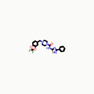 O=C(Nc1nc(-c2ccccc2)ns1)N1CCN(Cc2ccc3c(c2)OC(F)(F)O3)CC1